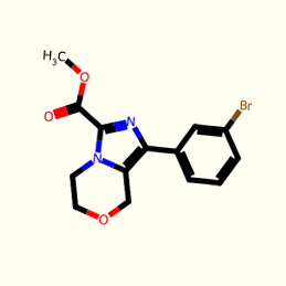 COC(=O)c1nc(-c2cccc(Br)c2)c2n1CCOC2